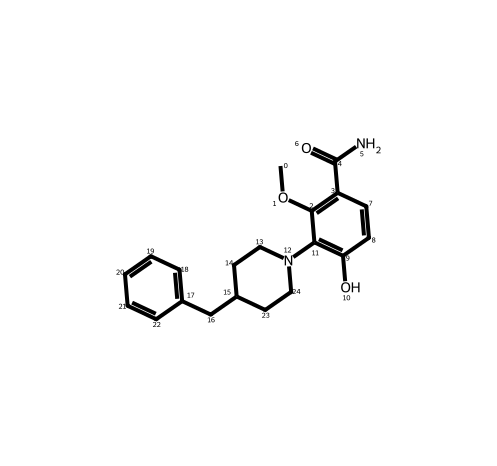 COc1c(C(N)=O)ccc(O)c1N1CCC(Cc2ccccc2)CC1